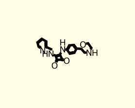 O=c1c(NCc2ccccn2)c(Nc2ccc(C3CNCCO3)cc2)c1=O